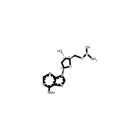 CNc1ncnc2c1ncn2[C@H]1C[C@H](O)[C@@H](COP(N)O)O1